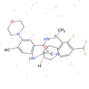 C[C@@H](NC(=O)c1cc(N2CCOCC2)c(C#N)cc1N[C@@H]1CN2CCC1CC2)c1cccc(C(F)F)c1F